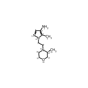 Cc1c(N)cnn1CCN1CCOC[C@@H]1C